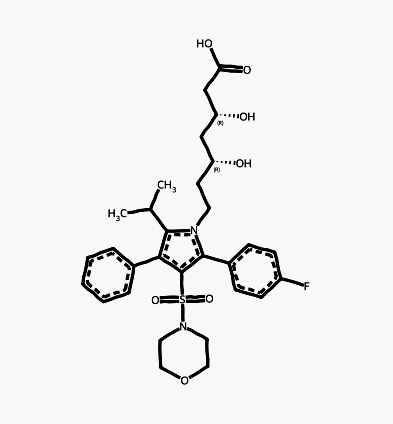 CC(C)c1c(-c2ccccc2)c(S(=O)(=O)N2CCOCC2)c(-c2ccc(F)cc2)n1CC[C@@H](O)C[C@@H](O)CC(=O)O